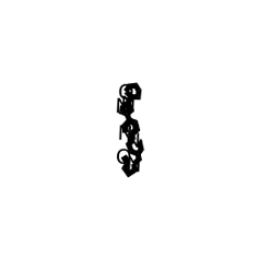 O=C1CCCN1CC1CCN(c2ccc(-c3cnn(C4CCCCO4)c3)cn2)CC1